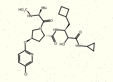 CC(C)(C)[C@H](NC(=O)O)C(=O)N1C[C@H](Oc2ccc(Cl)cn2)C[C@H]1C(=O)N[C@@H](CC1CCC1)C(O)C(=O)NC1CC1